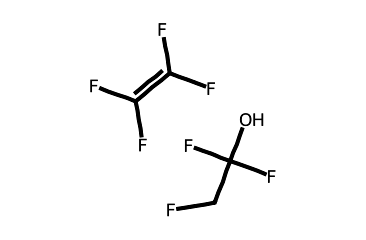 FC(F)=C(F)F.OC(F)(F)CF